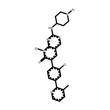 CCn1c(=O)c(-c2ccc(-c3ncccc3C)cc2Cl)cc2cnc(NC3CCN(C(C)=O)CC3)nc21